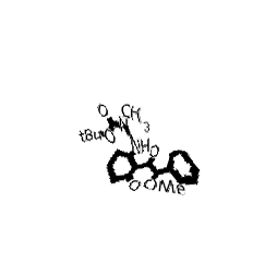 COC(C(=O)C1=C(NN(C)C(=O)OC(C)(C)C)CCCC1=O)c1ccccc1